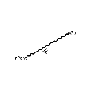 CCCC/C=C/C/C=C/CCCCCCCC(CCCCC/C=C/C=C/CCCCC)SN(C)C